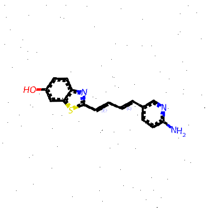 Nc1ccc(/C=C/C=C/c2nc3ccc(O)cc3s2)cn1